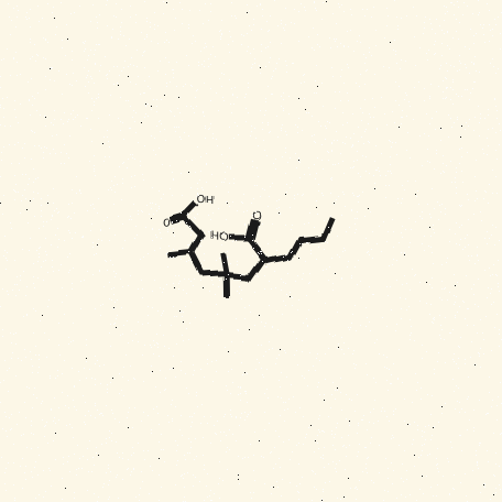 CCCCC(CC(C)(C)CC(C)CC(=O)O)C(=O)O